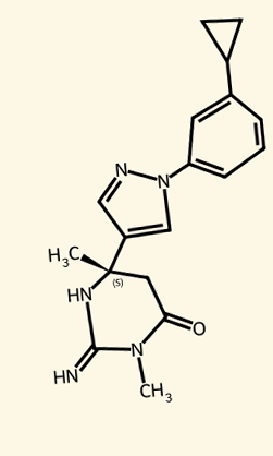 CN1C(=N)N[C@](C)(c2cnn(-c3cccc(C4CC4)c3)c2)CC1=O